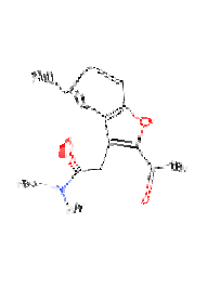 CCCCN(CCC)C(=O)Cc1c(C(=O)C(C)(C)C)oc2ccc(OC)cc12